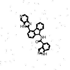 O=C(NC1c2ccccc2-c2c(-c3nc4ccncc4[nH]3)cccc21)c1cccc2[nH]ncc12